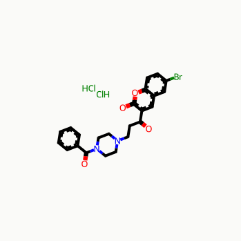 Cl.Cl.O=C(CCN1CCN(C(=O)c2ccccc2)CC1)c1cc2cc(Br)ccc2oc1=O